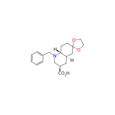 O=C(O)[C@@H]1C[C@@H]2CC3(CC[C@H]2N(Cc2ccccc2)C1)OCCO3